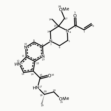 C=CC(=O)N1CCN(c2cnc3[nH]cc(C(=O)N[C@@H](C)COC)c3n2)CC1(C)COC